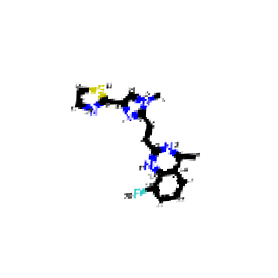 Cc1nc(C=Cc2nc(-c3nccs3)cn2C)nc2c(F)cccc12